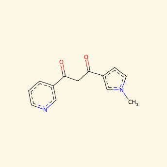 Cn1ccc(C(=O)CC(=O)c2cccnc2)c1